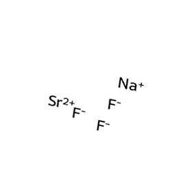 [F-].[F-].[F-].[Na+].[Sr+2]